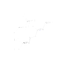 CC(C)=CCC/C(C)=C/C=O.CCOC(C)=O